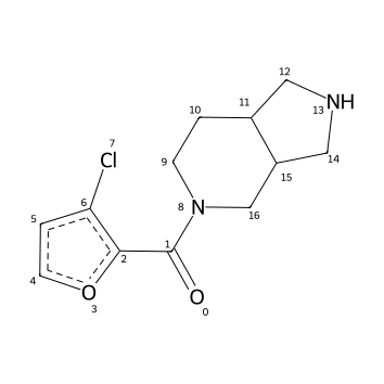 O=C(c1occc1Cl)N1CCC2CNCC2C1